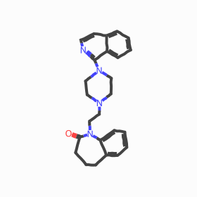 O=C1CCCc2ccccc2N1CCN1CCN(c2nccc3ccccc23)CC1